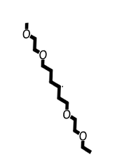 CCOCCOCC[CH]CCCOCCOC